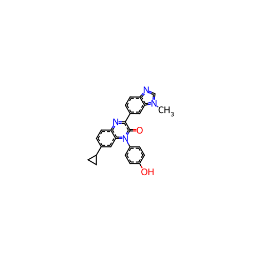 Cn1cnc2ccc(-c3nc4ccc(C5CC5)cc4n(-c4ccc(O)cc4)c3=O)cc21